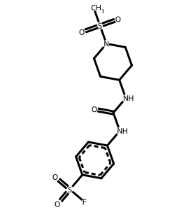 CS(=O)(=O)N1CCC(NC(=O)Nc2ccc(S(=O)(=O)F)cc2)CC1